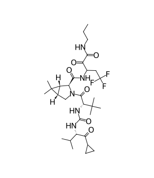 CCCNC(=O)C(=O)C(CC(F)(F)F)NC(=O)[C@@H]1[C@@H]2[C@H](CN1C(=O)[C@@H](NC(=O)N[C@H](C(=O)C1CC1)C(C)C)C(C)(C)C)C2(C)C